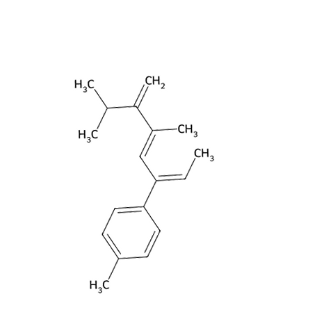 C=C(/C(C)=C/C(=C\C)c1ccc(C)cc1)C(C)C